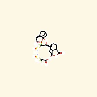 O=C1OC2(O/C3=C4\C5CC6C(=O)OC(C5)(OC(=O)C(F)(F)S(=O)(=O)NS(=O)(=O)C3(F)F)C46)CC3CC1C2C3